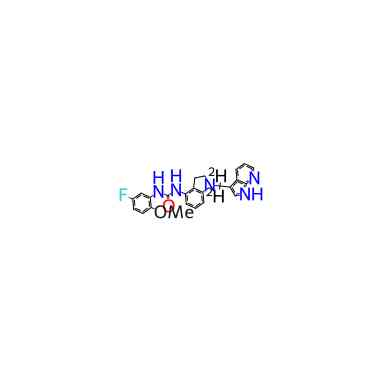 [2H]C([2H])(c1c[nH]c2ncccc12)N1CCc2c(NC(=O)Nc3cc(F)ccc3OC)cccc21